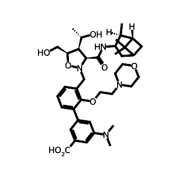 C[C@H](O)[C@@H]1[C@H](CO)ON(Cc2cccc(-c3cc(C(=O)O)cc(N(C)C)c3)c2OCCN2CCOCC2)[C@@H]1C(=O)NC1CC2C[C@@H]([C@@H]1C)C2(C)C